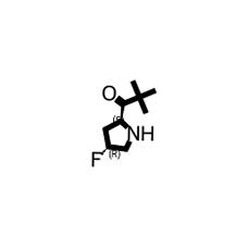 CC(C)(C)C(=O)[C@@H]1C[C@@H](F)CN1